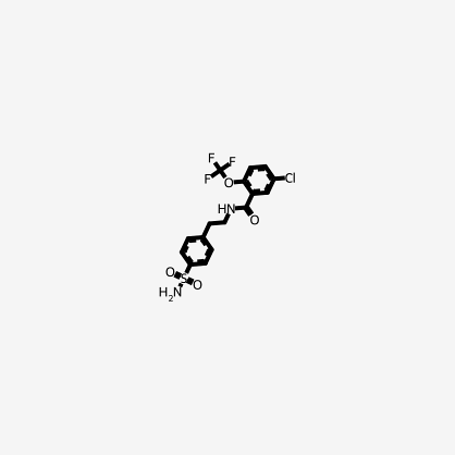 NS(=O)(=O)c1ccc(CCNC(=O)c2cc(Cl)ccc2OC(F)(F)F)cc1